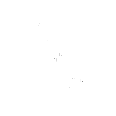 CN(C)C1CCN(c2ccc3nc(C(=O)c4ccnc(-n5cnc6cccnc65)c4)[nH]c3c2)CC1